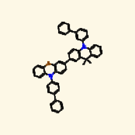 CC1(C)c2ccccc2N(c2cccc(-c3ccccc3)c2)c2ccc(-c3ccc4c(c3)Sc3ccccc3N4c3ccc(-c4ccccc4)cc3)cc21